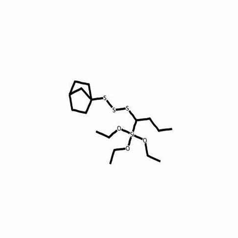 CCCC(SSSC12CCC(CC1)C2)[Si](OCC)(OCC)OCC